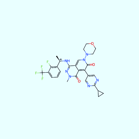 C[C@@H](Nc1nn(C)c(=O)c2c(-c3cnc(C4CC4)nc3)c(=O)n(N3CCOCC3)cc12)c1cccc(C(F)(F)F)c1F